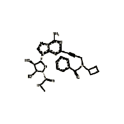 CNC(=O)[C@H]1O[C@@H](n2cnc3c(N)nc(C#CCN(C(=O)c4ccccc4)C4CCC4)nc32)[C@H](O)[C@@H]1O